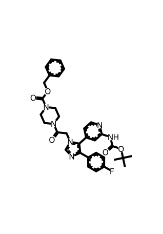 CC(C)(C)OC(=O)Nc1cc(-c2c(-c3ccc(F)cc3)ncn2CC(=O)N2CCN(C(=O)OCc3ccccc3)CC2)ccn1